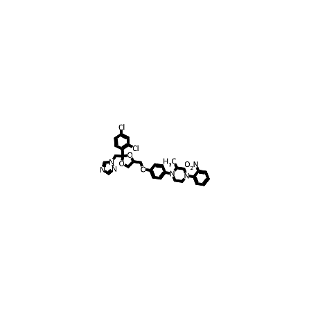 CC1CN(c2ccccc2[N+](=O)[O-])CCN1c1ccc(OCC2COC(Cn3cncn3)(c3ccc(Cl)cc3Cl)O2)cc1